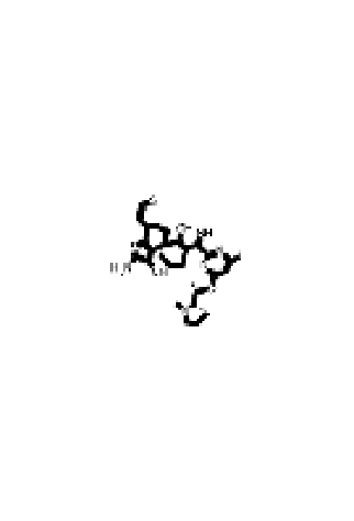 C[C@H](Oc1cc(I)nc(C(=N)C2=C(O)[C@@]3(CCC2)CCC(/C=C\S)c2sc(N)c(C#N)c23)n1)[C@@H]1CCCN1C